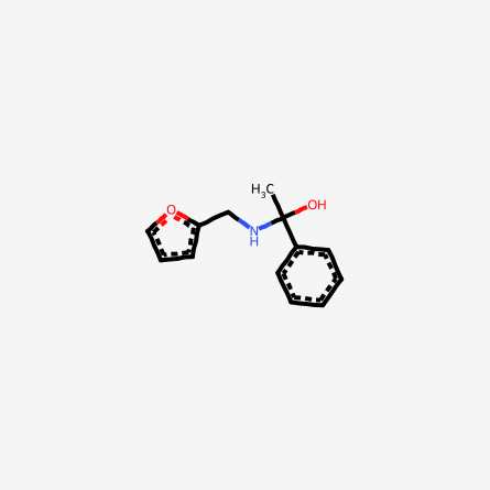 CC(O)(NCc1ccco1)c1ccccc1